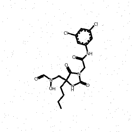 CCCCC1(CN(O)C=O)NC(=O)N(CC(=O)Nc2cc(Cl)cc(Cl)c2)C1=O